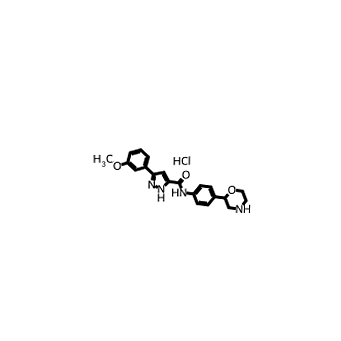 COc1cccc(-c2cc(C(=O)Nc3ccc(C4CNCCO4)cc3)[nH]n2)c1.Cl